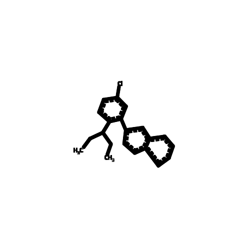 CCC(CC)c1ccc(Cl)cc1-c1ccc2ccccc2c1